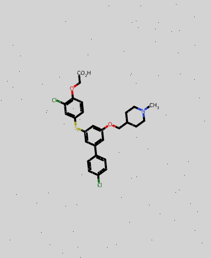 CN1CCC(COc2cc(Sc3ccc(OCC(=O)O)c(Cl)c3)cc(-c3ccc(Cl)cc3)c2)CC1